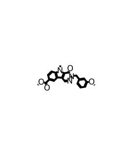 COC(=O)c1ccc2c(c1)c1cnn(Cc3cccc(OC)c3)c(=O)c1n2C